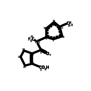 O=C(O)C1=C(C(=O)N(c2ccc(C(F)(F)F)cc2)C(F)(F)F)CCC1